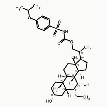 CC[C@H]1[C@@H](O)[C@@H]2[C@H](CC[C@]3(C)[C@@H]([C@H](C)COC(=O)NS(=O)(=O)c4ccc(OC(C)C)cc4)CC[C@@H]23)[C@@]2(C)CC[C@@H](O)C[C@@H]12